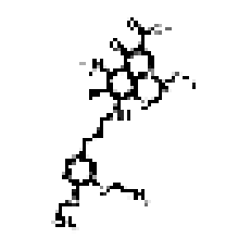 CCOc1ccc(CCCNc2c(F)c(N)c3c(=O)c(C(=O)O)cn4c3c2OC[C@@H]4C)cc1OCC